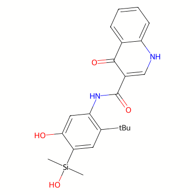 CC(C)(C)c1cc([Si](C)(C)O)c(O)cc1NC(=O)c1c[nH]c2ccccc2c1=O